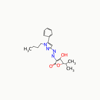 CCCCn1nc(N=NC2=C(O)C(C(C)C)OC2=O)cc1-c1ccccc1